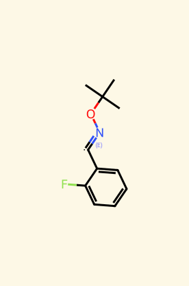 CC(C)(C)O/N=[C]/c1ccccc1F